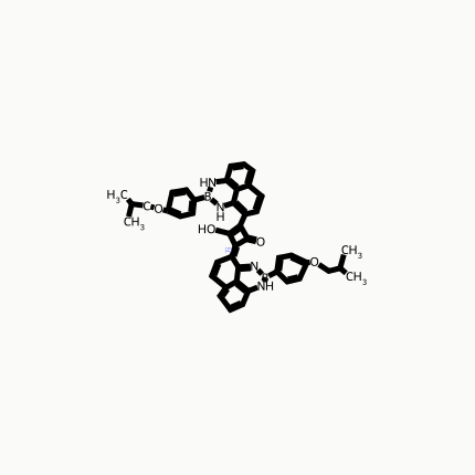 CC(C)COc1ccc(B2N=c3/c(=C4\C(=O)C(c5ccc6cccc7c6c5NB(c5ccc(OCC(C)C)cc5)N7)=C4O)ccc4cccc(c34)N2)cc1